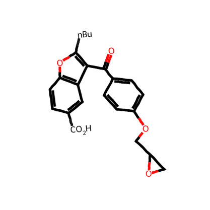 CCCCc1oc2ccc(C(=O)O)cc2c1C(=O)c1ccc(OCC2CO2)cc1